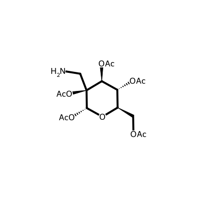 CC(=O)OC[C@H]1O[C@H](OC(C)=O)[C@@](CN)(OC(C)=O)[C@@H](OC(C)=O)[C@@H]1OC(C)=O